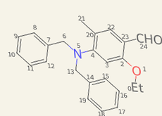 CCOc1cc(N(Cc2ccccc2)Cc2ccccc2)c(C)cc1C=O